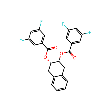 O=C(O[C@H]1Cc2ccccc2C[C@H]1OC(=O)c1cc(F)cc(F)c1)c1cc(F)cc(F)c1